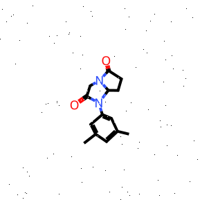 Cc1cc(C)cc(N2C(=O)CN3C(=O)CCC32)c1